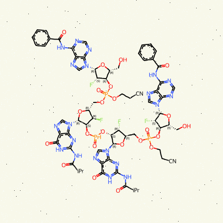 CC(C)C(=O)Nc1nc2c(ncn2[C@@H]2O[C@H](COP(=O)(OCCC#N)O[C@H]3[C@H](F)[C@H](n4cnc5c(NC(=O)c6ccccc6)ncnc54)O[C@@H]3CO)[C@@H](F)[C@H]2O[PH](=O)O[C@@H]2[C@H](F)[C@@H](COP(=O)(OCCC#N)O[C@H]3[C@H](F)[C@H](n4cnc5c(NC(=O)c6ccccc6)ncnc54)O[C@@H]3CO)O[C@H]2n2cnc3c(=O)[nH]c(NC(=O)C(C)C)nc32)c(=O)[nH]1